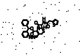 [N-]=[N+]=CC1=C(C(=O)OC(c2ccccc2)c2ccccc2)N2C(=O)[C@@H](NC(=O)Cc3cccs3)[C@H]2SC1